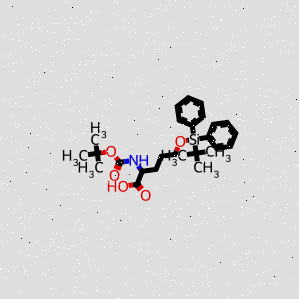 CC(C)(C)OC(=O)NC(CCCO[Si](c1ccccc1)(c1ccccc1)C(C)(C)C)C(=O)O